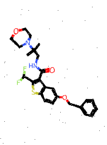 CC(C)(CNC(=O)c1c(C(F)F)sc2ccc(OCc3ccccc3)cc12)N1CCOCC1